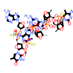 COC1[C@@H](OP(=O)(S)OC)[C@@H](COP(=O)(S)O[C@@H]2C[C@H](n3cnc4c(N)ncnc43)O[C@@H]2COP(=O)(O)O[C@@H]2C3O[C@@H](C)[C@]2(COP(=O)(O)O[C@@H]2C4O[C@@H](C)[C@]2(COP(=O)(S)O[C@@H]2C5O[C@@H](C)[C@]2(CO)O[C@H]5n2cc(C)c(N)nc2=O)O[C@H]4n2cnc4c(=O)[nH]c(N)nc42)O[C@H]3n2cnc3c(N)ncnc32)O[C@H]1n1cc(C)c(=O)[nH]c1=O